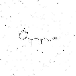 C=C(CNCCO)c1ccccc1